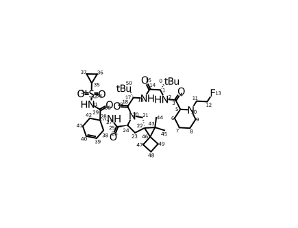 CC(C)(C)[C@H](NC(=O)C1CCCCN1CCF)C(=O)N[C@H](C(=O)N1C[C@]2(C[C@H]1C(=O)N[C@]1(C(=O)NS(=O)(=O)C3CC3)CC=CCC1)C(C)(C)C21CCC1)C(C)(C)C